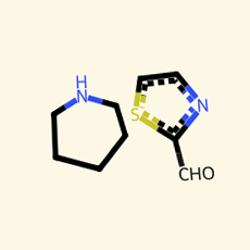 C1CCNCC1.O=Cc1nccs1